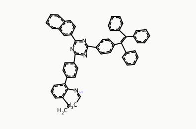 C=Cc1cccc(-c2ccc(-c3nc(-c4ccc(C(=C(c5ccccc5)c5ccccc5)c5ccccc5)cc4)nc(-c4ccc5ccccc5c4)n3)cc2)c1/N=C\C